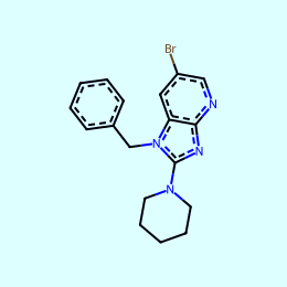 Brc1cnc2nc(N3CCCCC3)n(Cc3ccccc3)c2c1